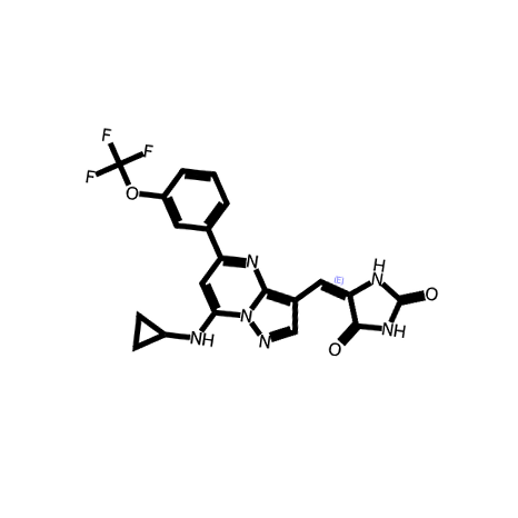 O=C1NC(=O)/C(=C\c2cnn3c(NC4CC4)cc(-c4cccc(OC(F)(F)F)c4)nc23)N1